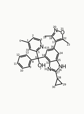 Cc1ccnc(C(O)(c2ccccc2)c2cc(-c3c(C)noc3C)cc3[nH]c(C4CC4)nc23)c1